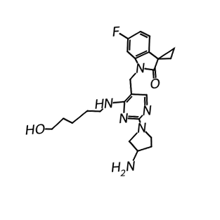 NC1CCN(c2ncc(CN3C(=O)C4(CC4)c4ccc(F)cc43)c(NCCCCCO)n2)C1